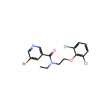 CCN(CCOc1c(Cl)cccc1Cl)C(=O)c1cncc(Br)c1